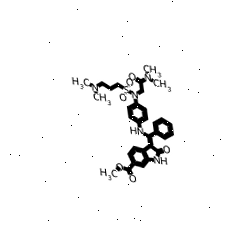 COC(=O)c1ccc2c(c1)NC(=O)C2=C(Nc1ccc(N(CC(=O)N(C)C)S(=O)(=O)CCCN(C)C)cc1)c1ccccc1